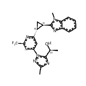 Cc1nc([C@H](C)O)n(-c2cc([C@@H]3C[C@H]3c3nc4ccccc4n3C)nc(C(F)(F)F)n2)n1